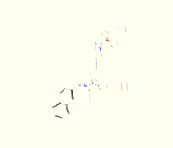 CC(C)(C)OC(=O)NCCCC[C@H](NCc1ccc2ccccc2c1)C(=O)O